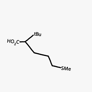 CSCCCC(C(=O)O)C(C)(C)C